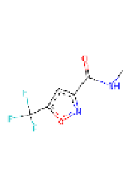 CNC(=O)c1cc(C(F)(F)F)on1